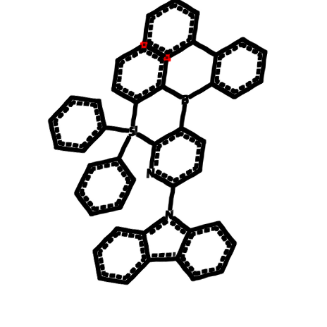 c1ccc(-c2ccccc2B2c3ccccc3[Si](c3ccccc3)(c3ccccc3)c3nc(-n4c5ccccc5c5ccccc54)ccc32)cc1